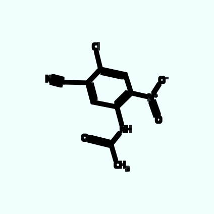 CC(=O)Nc1cc(C#N)c(Cl)cc1[N+](=O)[O-]